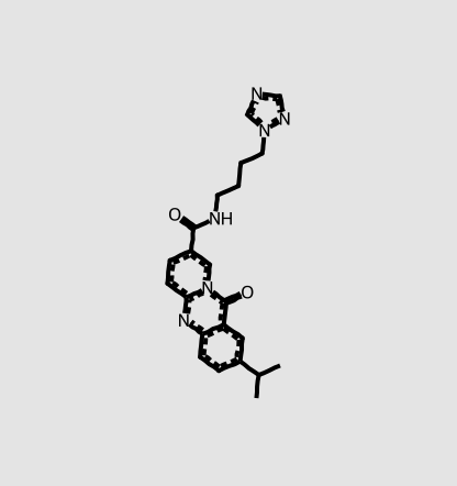 CC(C)c1ccc2nc3ccc(C(=O)NCCCCn4cncn4)cn3c(=O)c2c1